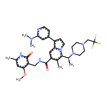 COc1cc(C)[nH]c(=O)c1CNC(=O)c1cc2c(-c3ccnc(N(C)C)c3)ccn2c([C@H](C)N2CCN(CC(F)(F)F)CC2)c1C